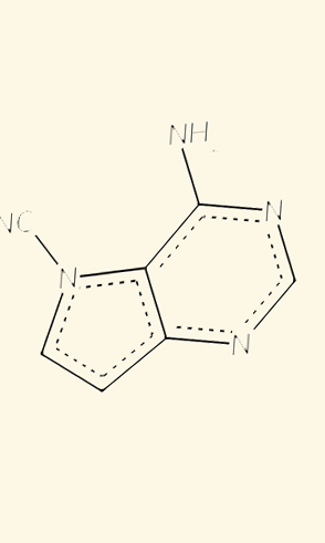 N#Cn1ccc2ncnc(N)c21